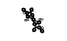 CC(C)(C)c1cccc2c3c(N(c4ccccc4)c4ccc5oc6ccccc6c5c4)ccc4c5cc6c(cc5n(c12)c43)c1ccc(N(c2ccccc2)c2ccc3oc4ccccc4c3c2)c2c3cccc(C(C)(C)C)c3n6c12